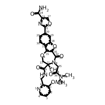 COc1cccnc1CNC(=O)C1(C)COc2c(oc3cc(-c4nc(C(N)=O)co4)ccc23)C(=O)N1CC(=O)N(C)C